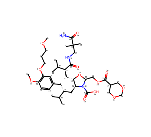 COCCCOc1cc(C[C@H](C[C@H]2[C@H](C[C@H](C(=O)NCC(C)(C)C(N)=O)C(C)C)OC(COC(=O)C3COCOC3)N2C(=O)O)C(C)C)ccc1OC